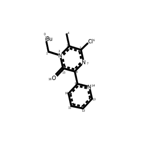 CCC(C)Cn1c(C)c(Cl)nc(-c2ccccn2)c1=O